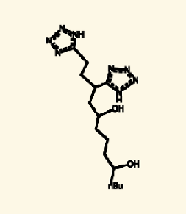 CCCCC(O)CCCC(O)CC(CCc1nnn[nH]1)c1nnn[nH]1